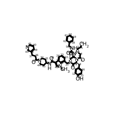 C=CCN1CC(=O)N2[C@@H](Cc3ccc(O)cc3)C(=O)N(Cc3cccc4c(C(=O)NC5CCN(C(=O)CCc6cccnc6)CC5)cn(C)c34)C[C@@H]2N1C(=O)NCc1ccccc1